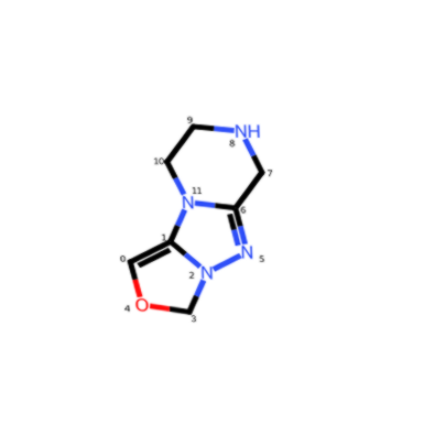 C1=C2N(CO1)N=C1CNCCN21